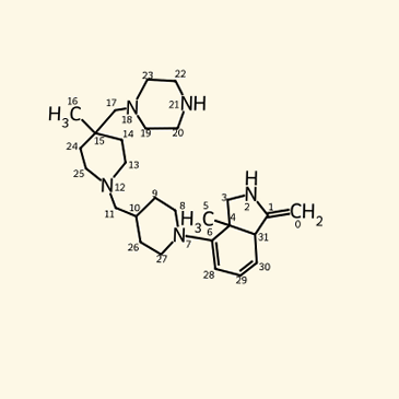 C=C1NCC2(C)C(N3CCC(CN4CCC(C)(CN5CCNCC5)CC4)CC3)=CC=CC12